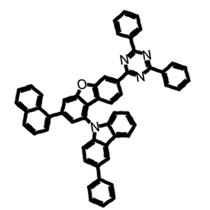 c1ccc(-c2ccc3c(c2)c2ccccc2n3-c2cc(-c3cccc4ccccc34)cc3oc4cc(-c5nc(-c6ccccc6)nc(-c6ccccc6)n5)ccc4c23)cc1